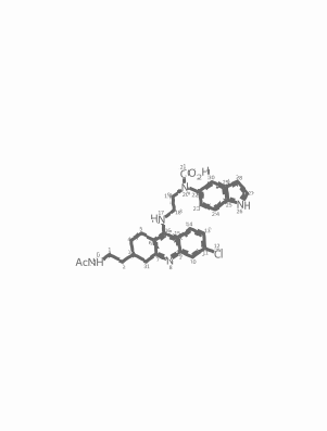 CC(=O)NCCC1CCc2c(nc3cc(Cl)ccc3c2NCCN(C(=O)O)c2ccc3[nH]ccc3c2)C1